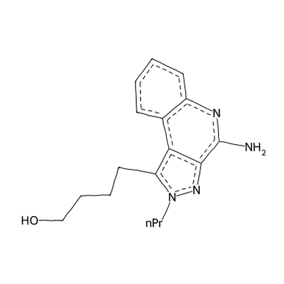 CCCn1nc2c(N)nc3ccccc3c2c1CCCCO